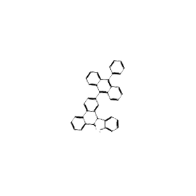 c1ccc(-c2c3ccccc3c(-c3ccc4c(c3)C3C(=Nc5ccccc53)c3ccccc3-4)c3ccccc23)cc1